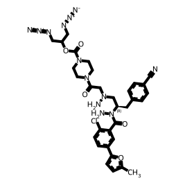 Cc1ccc(-c2ccc(Cl)c(C(=O)N(N)[C@H](Cc3ccc(C#N)cc3)CN(N)CC(=O)N3CCN(C(=O)OC(CN=[N+]=[N-])CN=[N+]=[N-])CC3)c2)o1